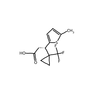 Cc1ccc([C@@H](CC(=O)O)C2(C(F)(F)F)CC2)s1